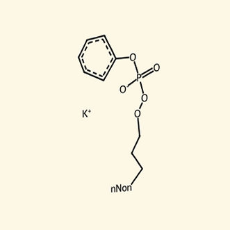 CCCCCCCCCCCCOOP(=O)([O-])Oc1ccccc1.[K+]